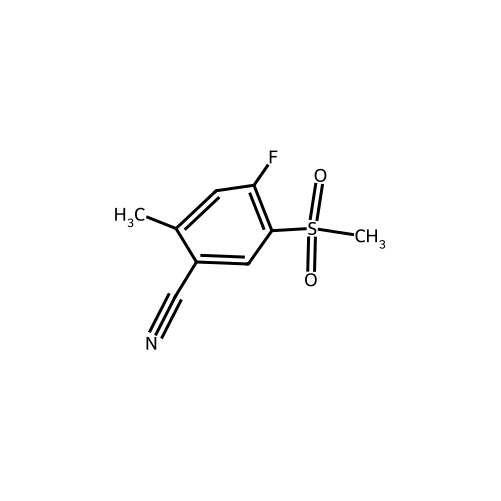 Cc1cc(F)c(S(C)(=O)=O)cc1C#N